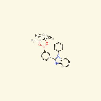 CC1(C)OB(c2cccc(-c3nc4ccccc4n3-c3ccccc3)c2)OC1(C)C